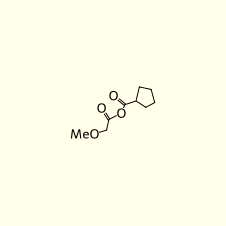 COCC(=O)OC(=O)C1CCCC1